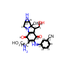 COC12C(CO)C3=C(C(=O)C(C)=C(Nc4cccc(C#N)c4)C3=O)N1CC1NC12.NC(=O)O